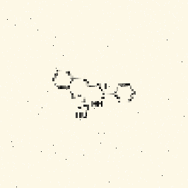 Cl.Cl.N=C(NC=Cc1ccccc1N)c1ccccc1